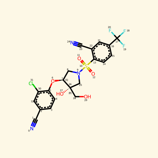 N#Cc1ccc(O[C@H]2CN(S(=O)(=O)c3ccc(C(F)(F)F)cc3C#N)C[C@@]2(O)CO)c(Cl)c1